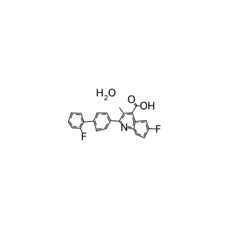 Cc1c(-c2ccc(-c3ccccc3F)cc2)nc2ccc(F)cc2c1C(=O)O.O